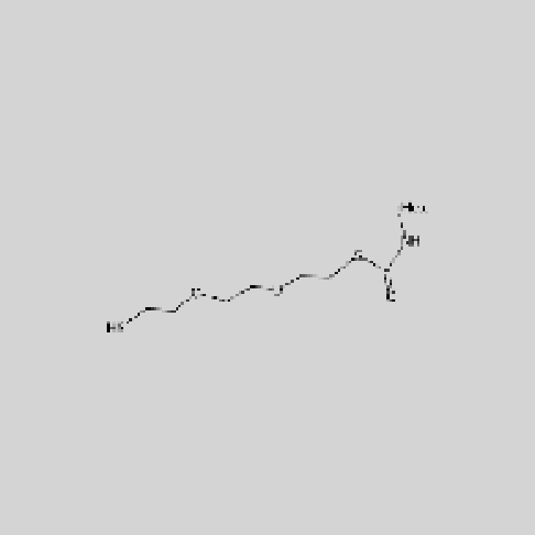 CCCCCCNC(=O)SCCOCCOCCS